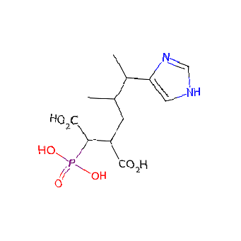 CC(CC(C(=O)O)C(C(=O)O)P(=O)(O)O)C(C)c1c[nH]cn1